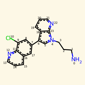 NCCCn1cc(-c2cc(Cl)c3ncccc3c2)c2cccnc21